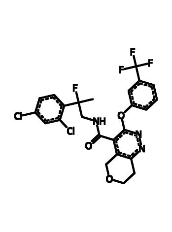 CC(F)(CNC(=O)c1c(Oc2cccc(C(F)(F)F)c2)nnc2c1COCC2)c1ccc(Cl)cc1Cl